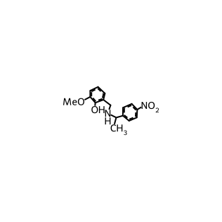 COc1cccc(CNC(C)c2ccc([N+](=O)[O-])cc2)c1O